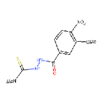 CNC(=S)NNC(=O)c1ccc([N+](=O)[O-])c(OC)c1